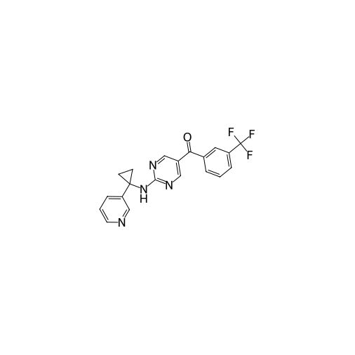 O=C(c1cnc(NC2(c3cccnc3)CC2)nc1)c1cccc(C(F)(F)F)c1